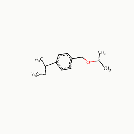 CCC(C)c1ccc(COC(C)C)cc1